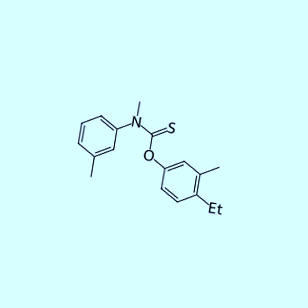 CCc1ccc(OC(=S)N(C)c2cccc(C)c2)cc1C